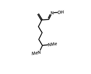 C=C(C=NO)CCCC(NC)NC